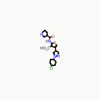 O=C(Nc1scc(-c2cnn(-c3ccc(Cl)cc3)c2)c1C(=O)O)c1cccnc1